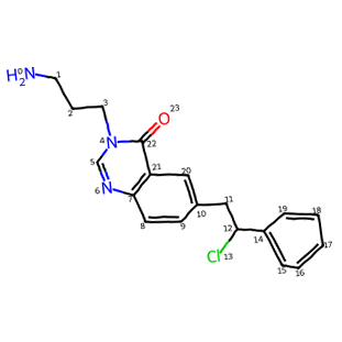 NCCCn1cnc2ccc(CC(Cl)c3ccccc3)cc2c1=O